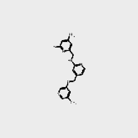 Cc1cncc(OCc2ccnc(NCc3cc(N)cc(F)n3)c2)c1